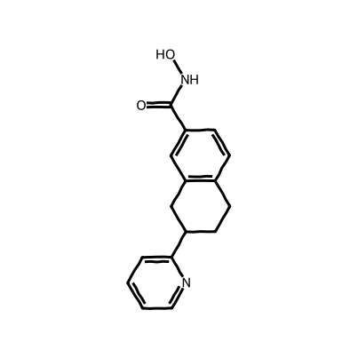 O=C(NO)c1ccc2c(c1)CC(c1ccccn1)CC2